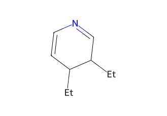 CCC1C=CN=CC1CC